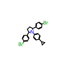 Brc1ccc(C2CCC(c3ccc(Br)cc3)N2c2ccc(C3CC3)cc2)cc1